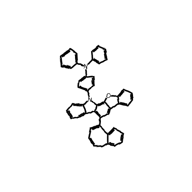 C1=CCc2ccccc2C(c2cc3c4ccccc4oc3c3c2c2ccccc2n3-c2ccc(N(c3ccccc3)c3ccccc3)cc2)=C1